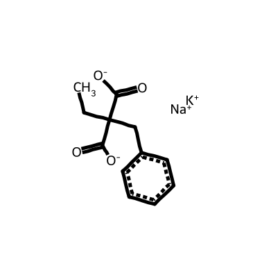 CCC(Cc1ccccc1)(C(=O)[O-])C(=O)[O-].[K+].[Na+]